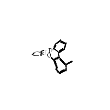 Cc1cccc([O][Ti+2])c1-c1ccccc1.[Cl-].[Cl-]